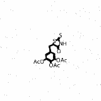 CC(=O)Oc1cc(CC2SC(=S)NC2=O)cc(OC(C)=O)c1OC(C)=O